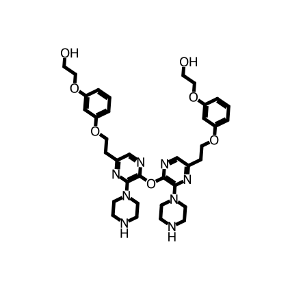 OCCOc1cccc(OCCc2cnc(Oc3ncc(CCOc4cccc(OCCO)c4)nc3N3CCNCC3)c(N3CCNCC3)n2)c1